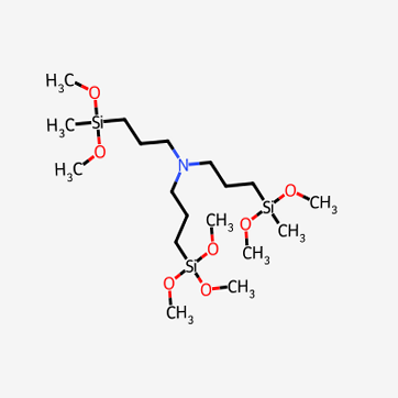 CO[Si](C)(CCCN(CCC[Si](C)(OC)OC)CCC[Si](OC)(OC)OC)OC